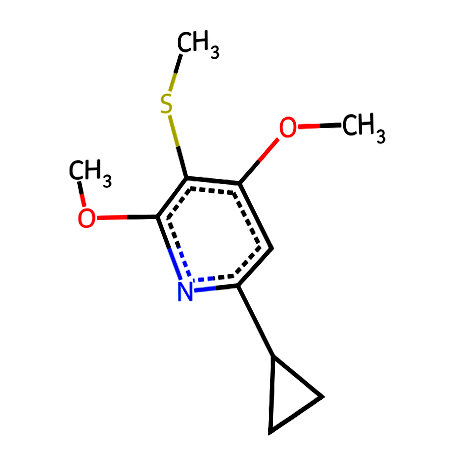 COc1cc(C2CC2)nc(OC)c1SC